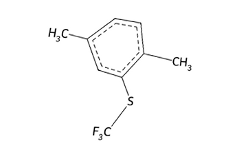 Cc1ccc(C)c(SC(F)(F)F)c1